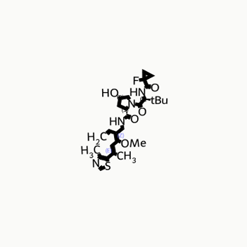 C=C/C(CNC(=O)[C@@H]1C[C@@H](O)CN1C(=O)[C@@H](NC(=O)C1(F)CC1)C(C)(C)C)=C(\C=C(/C)c1scnc1C)OC